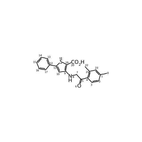 Cc1ccc(C(=O)CNc2cc(-c3ccccc3)sc2C(=O)O)c(C)c1